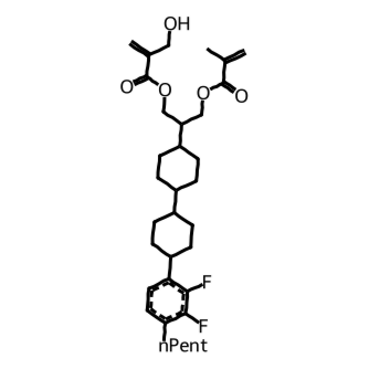 C=C(C)C(=O)OCC(COC(=O)C(=C)CO)C1CCC(C2CCC(c3ccc(CCCCC)c(F)c3F)CC2)CC1